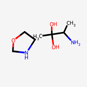 C1COCN1.CC(N)C(C)(O)O